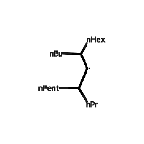 CCCCCCC([CH]C(CCC)CCCCC)CCCC